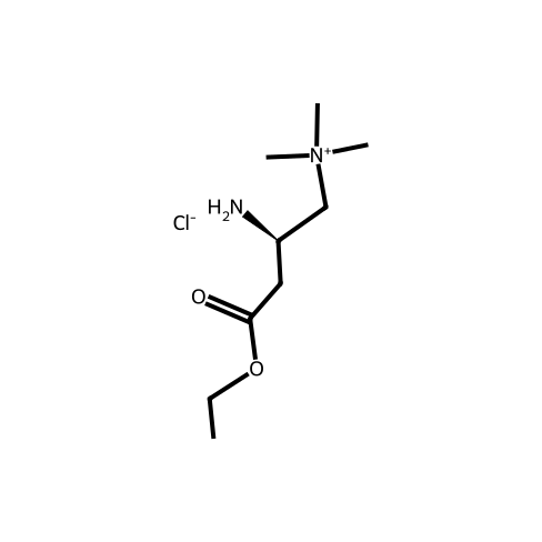 CCOC(=O)C[C@@H](N)C[N+](C)(C)C.[Cl-]